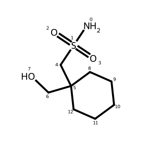 NS(=O)(=O)CC1(CO)CCCCC1